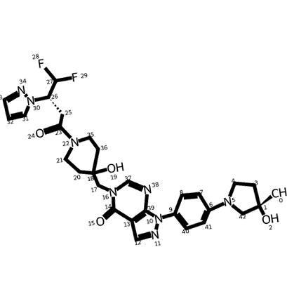 C[C@]1(O)CCN(c2ccc(-n3ncc4c(=O)n(CC5(O)CCN(C(=O)C[C@@H](C(F)F)n6cccn6)CC5)cnc43)cc2)C1